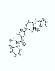 Cn1ccnc1CN1CCC(c2cc(C(=O)N3CCCC4CCCCC43)cs2)CC1